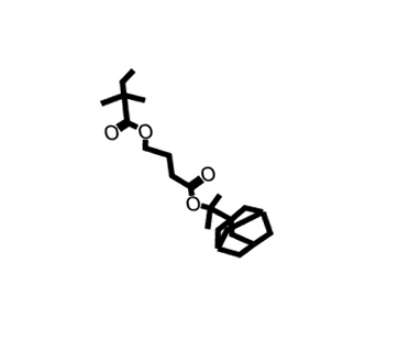 CCC(C)(C)C(=O)OCCCC(=O)OC(C)(C)C12CC3CC(CC(C3)C1)C2